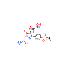 CC1(OC(=O)NO)C(=O)N(CC(N)=O)N=C1c1ccc(S(C)(=O)=O)cc1